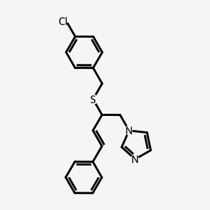 Clc1ccc(CSC(C=Cc2ccccc2)Cn2ccnc2)cc1